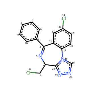 ClCC1N=C(c2ccccc2)c2cc(Cl)ccc2-n2cnnc21